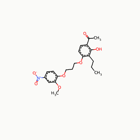 CCCc1c(OCCCOc2ccc([N+](=O)[O-])cc2OC)ccc(C(C)=O)c1O